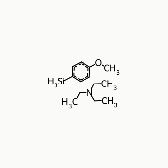 CCN(CC)CC.COc1ccc([SiH3])cc1